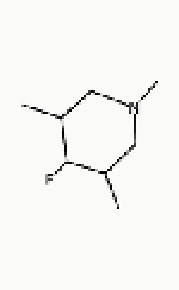 CC1CN(C)CC(C)C1F